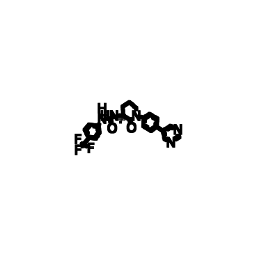 C[C@]1(NC(=O)Nc2ccc(C(F)(F)F)cc2)CCCN(c2ccc(-c3cncnc3)cc2)C1=O